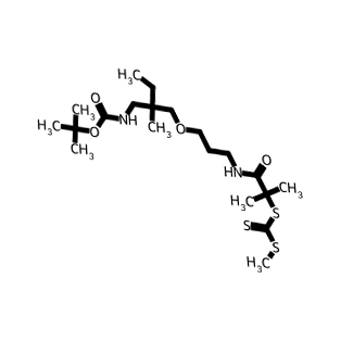 CCC(C)(CNC(=O)OC(C)(C)C)COCCCNC(=O)C(C)(C)SC(=S)SC